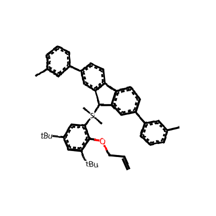 C=CCOc1c(C(C)(C)C)cc(C(C)(C)C)cc1[Si](C)(C)C1c2cc(-c3cccc(C)c3)ccc2-c2ccc(-c3cccc(C)c3)cc21